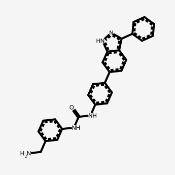 NCc1cccc(NC(=O)Nc2ccc(-c3ccc4c(-c5ccccc5)n[nH]c4c3)cc2)c1